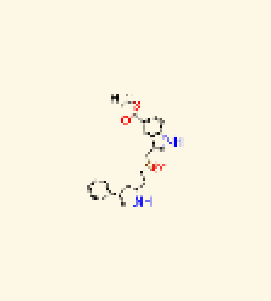 COC(=O)c1ccc2[nH]cc(C[S+]([O-])CCC3CC(c4ccccc4)=CCN3)c2c1